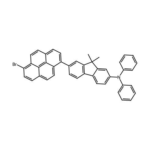 CC1(C)c2cc(-c3ccc4ccc5c(Br)ccc6ccc3c4c65)ccc2-c2ccc(N(c3ccccc3)c3ccccc3)cc21